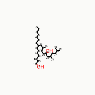 CCCCCCCC(CCCCCCCO)CC(C)CCC(O)CC(C)CCC(C)C